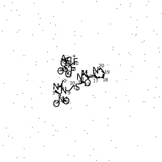 Cc1ncc([N+](=O)[O-])n1CCSc1nnc(-c2ccccn2)o1.O=S(=O)([O-])C(F)(F)F.[Ag+]